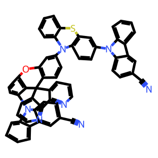 N#Cc1ccc2c(c1)c1ccccc1n2-c1ccc2c(c1)Sc1ccccc1N2c1ccc2c(c1)Oc1cccc(-n3c4ccccc4c4cc(C#N)ccc43)c1C21c2cccnc2-c2ncccc21